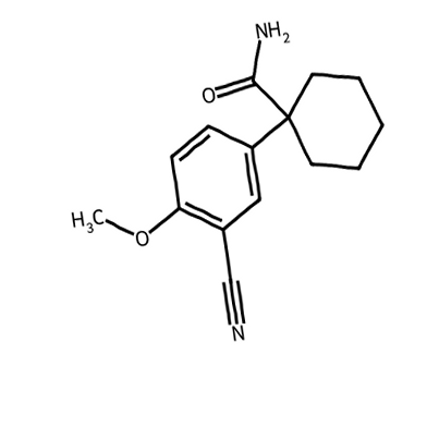 COc1ccc(C2(C(N)=O)CCCCC2)cc1C#N